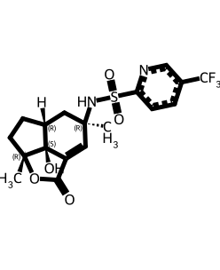 C[C@]1(NS(=O)(=O)c2ccc(C(F)(F)F)cn2)C=C2C(=O)O[C@]3(C)CC[C@H](C1)[C@]23O